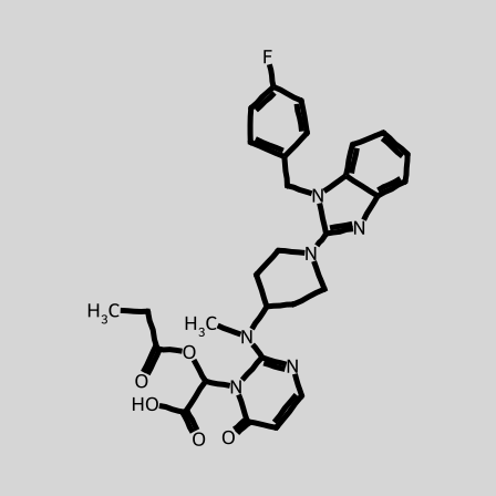 CCC(=O)OC(C(=O)O)n1c(N(C)C2CCN(c3nc4ccccc4n3Cc3ccc(F)cc3)CC2)nccc1=O